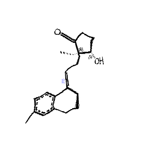 Cc1ccc2c(c1)CCC/C2=C\C[C@@]1(C)C(=O)CC[C@@H]1O